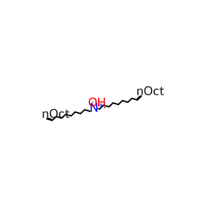 CCCCCCCC/C=C\CCCCCCCC[N+](O)CCCCCCCC/C=C\CCCCCCCC